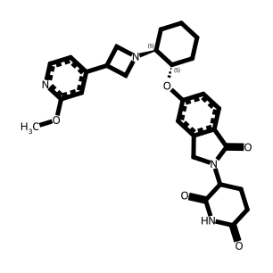 COc1cc(C2CN([C@H]3CCCC[C@@H]3Oc3ccc4c(c3)CN(C3CCC(=O)NC3=O)C4=O)C2)ccn1